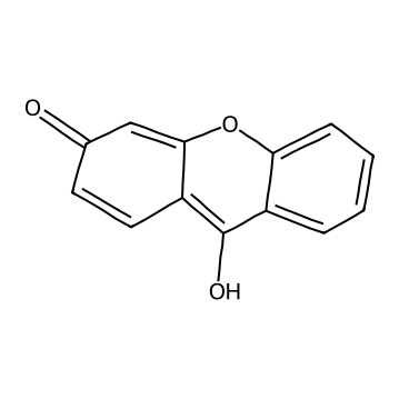 O=c1ccc2c(O)c3ccccc3oc-2c1